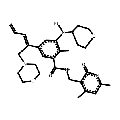 C=C/C=C(\CN1CCOCC1)c1cc(C(=O)NCc2c(C)cc(C)[nH]c2=O)c(C)c(N(CC)C2CCOCC2)c1